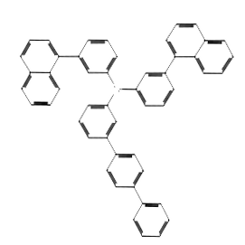 c1ccc(-c2ccc(-c3cccc(N(c4cccc(-c5cccc6ccccc56)c4)c4cccc(-c5cccc6ccccc56)c4)c3)cc2)cc1